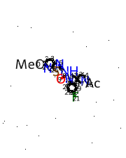 COc1ccc2nc(NC(=O)N3CC4(CCN(C(C)=O)C4)c4cc(F)ccc43)sc2n1